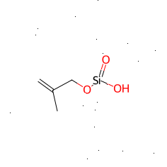 C=C(C)CO[Si](=O)O